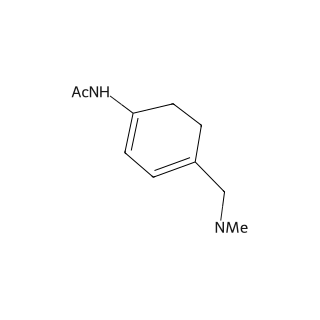 CNCC1=CC=C(NC(C)=O)CC1